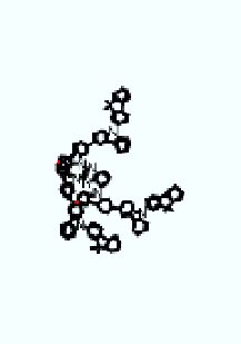 CC1(C)c2ccccc2-c2ccc(-n3c4ccccc4c4cc(-c5ccc6c7ccccc7n(-c7nc8cccc(-n9c%10ccccc%10c%10ccc(-c%11ccc%12c(c%11)c%11ccccc%11n%12-c%11ccc%12c(c%11)C(C)(C)c%11ccccc%11-%12)cc%109)c8nc7-n7c8ccccc8c8ccc(-c9ccc%10c(c9)c9ccccc9n%10-c9ccc%10c(c9)C(C)(C)c9ccccc9-%10)cc87)c6c5)ccc43)cc21